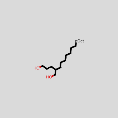 CCCCCCCCCCCCCC[CH]C(CO)CCCO